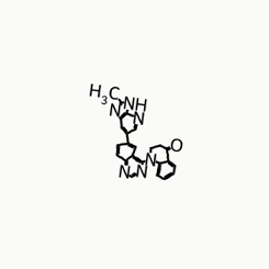 Cc1nc2cc(-c3ccc4ncnc(N5CCC(=O)c6ccccc65)c4c3)cnc2[nH]1